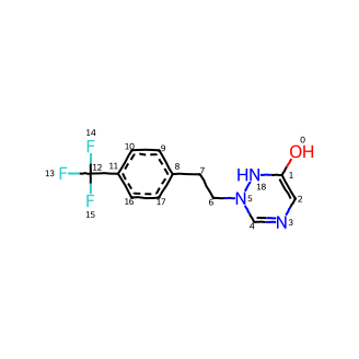 OC1=CN=CN(CCc2ccc(C(F)(F)F)cc2)N1